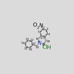 Cl.O=[N+]([O-])c1ccc2c(c1)CN(Cc1ccccc1)CC2